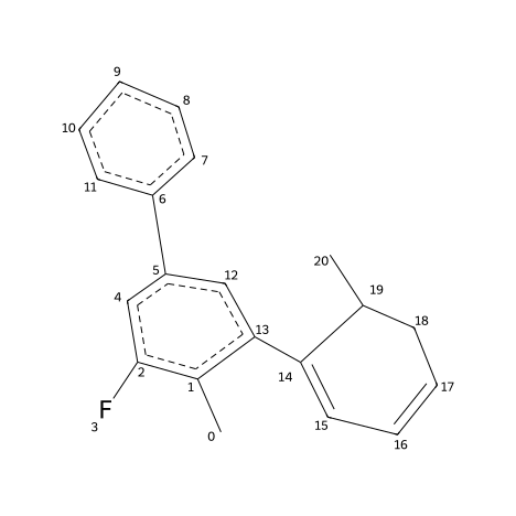 Cc1c(F)cc(-c2ccccc2)cc1C1=CC=CCC1C